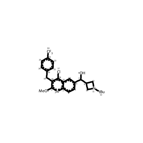 COc1nc2ccc(C(O)C3CN(C(C)(C)C)C3)cc2c(Cl)c1Cc1ccc(C(F)(F)F)cc1